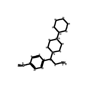 COc1ccc(C(CN)N2CCN(C3CCCCC3)CC2)cc1